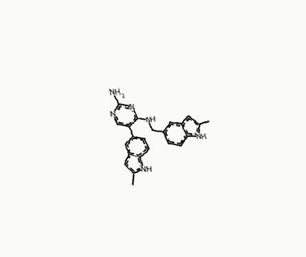 Cc1cc2cc(CNc3nc(N)ncc3-c3ccc4[nH]c(C)cc4c3)ccc2[nH]1